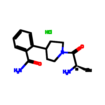 CC(C)(C)[C@H](N)C(=O)N1CCC(c2ccccc2C(N)=O)CC1.Cl